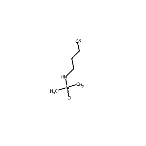 C[Si](C)(Cl)NCCCC#N